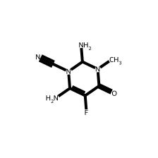 CN1C(=O)C(F)=C(N)N(C#N)C1N